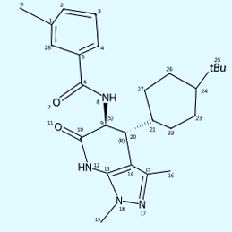 Cc1cccc(C(=O)N[C@@H]2C(=O)Nc3c(c(C)nn3C)[C@H]2C2CCC(C(C)(C)C)CC2)c1